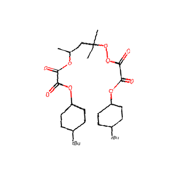 CC(CC(C)(C)OOC(=O)C(=O)OC1CCC(C(C)(C)C)CC1)OC(=O)C(=O)OC1CCC(C(C)(C)C)CC1